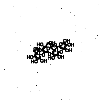 OC[C@H]1O[C@@H](O[C@H]2[C@@H](O[C@H]3[C@H](O)[C@@H](O)[C@@H](O[C@H]4[C@H](O)[C@@H](O)C(O)O[C@@H]4CO)O[C@@H]3CO)O[C@H](CO)[C@@H](O)[C@@H]2O)[C@H](O)[C@@H](O)[C@@H]1O